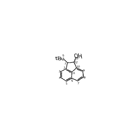 CC(C)(C)C1c2cccc3cccc(c23)C1O